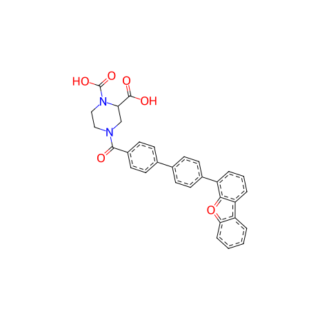 O=C(O)C1CN(C(=O)c2ccc(-c3ccc(-c4cccc5c4oc4ccccc45)cc3)cc2)CCN1C(=O)O